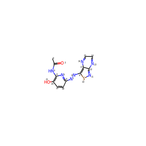 CC(=O)Nc1nc(/N=N/c2snc3nccnc23)ccc1O